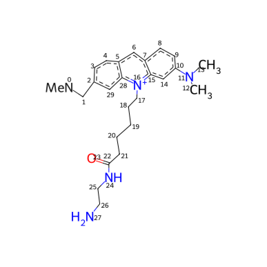 CNCc1ccc2cc3ccc(N(C)C)cc3[n+](CCCCCC(=O)NCCN)c2c1